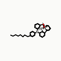 CCCCCCCCc1ccc(N2c3cccc4c3[PH]3(c5c(cccc52)-c2cccc[n+]23)[n+]2ccccc2-4)cc1